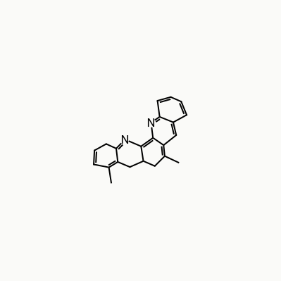 CC1=C2CC3CC(C)=c4cc5ccccc5nc4=C3N=C2CC=C1